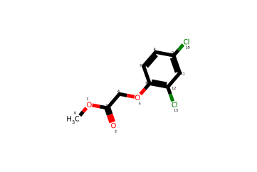 COC(=O)COc1[c]cc(Cl)cc1Cl